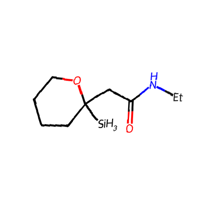 CCNC(=O)CC1([SiH3])CCCCO1